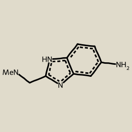 CNCc1nc2cc(N)ccc2[nH]1